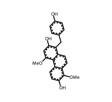 COc1c(O)ccc2c1ccc1c(Cc3ccc(O)cc3)c(O)cc(OC)c12